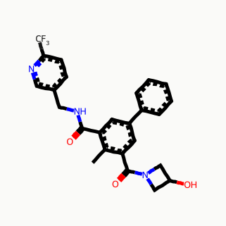 Cc1c(C(=O)NCc2ccc(C(F)(F)F)nc2)cc(-c2ccccc2)cc1C(=O)N1CC(O)C1